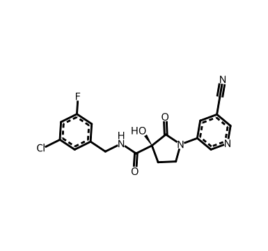 N#Cc1cncc(N2CC[C@](O)(C(=O)NCc3cc(F)cc(Cl)c3)C2=O)c1